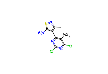 Cc1nsc(N)c1-c1nc(Cl)nc(Cl)c1[N+](=O)[O-]